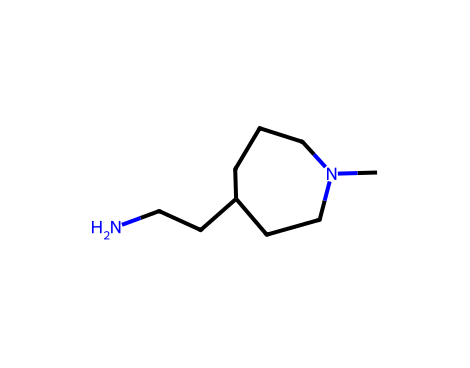 CN1CCCC(CCN)CC1